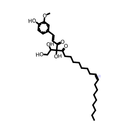 CCCCCCCC/C=C\CCCCCCCC(=O)C(O)(C(=O)C=Cc1ccc(O)c(OC)c1)C(O)CO